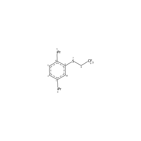 CC(C)c1ccc(C(C)C)c(SCC(F)(F)F)c1